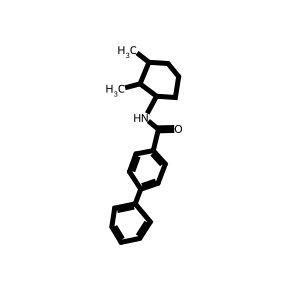 CC1CCCC(NC(=O)c2ccc(-c3ccccc3)cc2)C1C